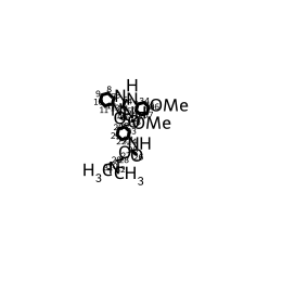 COc1cc(Nc2nc3ccccc3nc2NS(=O)(=O)c2cccc(NC(=O)OCCN(C)C)c2)cc(OC)c1